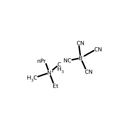 CCC[N+](C)(C)CC.N#C[B-](C#N)(C#N)C#N